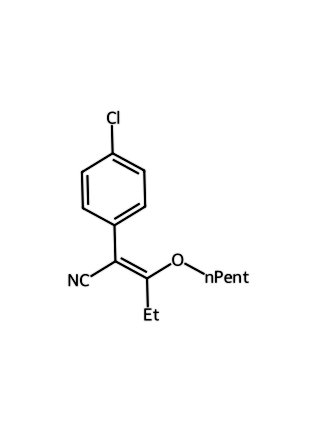 CCCCCOC(CC)=C(C#N)c1ccc(Cl)cc1